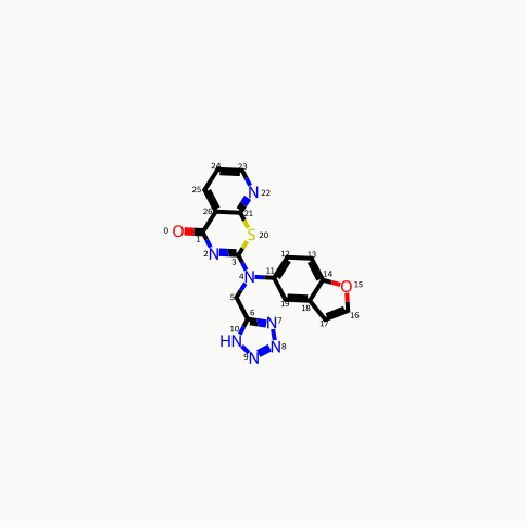 O=c1nc(N(Cc2nnn[nH]2)c2ccc3occc3c2)sc2ncccc12